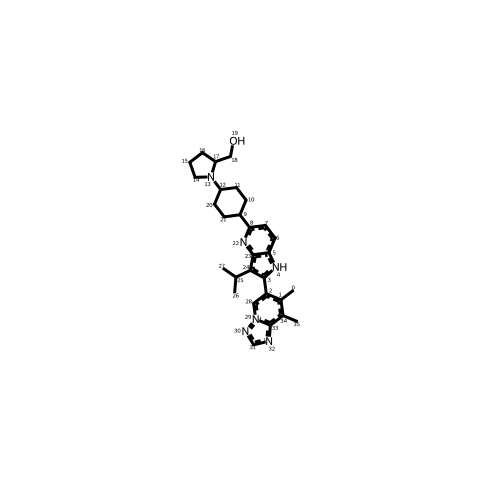 Cc1c(-c2[nH]c3ccc(C4CCC(N5CCCC5CO)CC4)nc3c2C(C)C)cn2ncnc2c1C